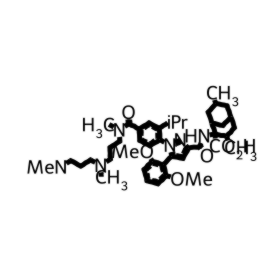 CNCCCN(C)CCCN(C)C(=O)c1ccc(-n2nc(C(=O)NC3(C(=O)O)C(C)CC4CC(C)CC3C4)cc2-c2c(OC)cccc2OC)c(C(C)C)c1